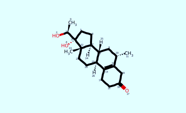 C[C@H](O)[C@@]1(O)CC[C@H]2[C@@H]3C[C@H](C)C4=C(CCC(=O)C4)[C@H]3CC[C@@]21C